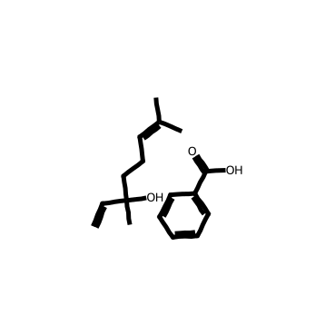 C=CC(C)(O)CCC=C(C)C.O=C(O)c1ccccc1